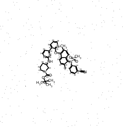 Cc1ccc2c(N(c3cccc(C#N)c3)S(C)(=O)=O)c(F)ccc2c1Oc1ncccc1-c1ccnc(NC2CCCN(C(=O)OC(C)(C)C)C2)n1